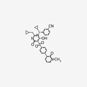 Cn1cccc(-c2ccc(S(=O)(=O)c3c(O)n([C@H](c4cccc(C#N)c4)C4CC4)c(CC4CC4)nc3=O)cc2)c1=O